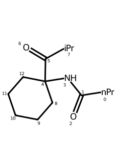 CCCC(=O)NC1(C(=O)C(C)C)CCCCC1